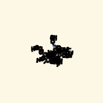 CC(C)=CCc1c(O)ccc(C(=O)C2C(c3c(O)ccc(C(=O)/C=C/c4ccc(O)cc4)c3O)C=C(Oc3ccc(C(=O)C4C(c5c(O)cc(-c6cc7ccc(O)cc7o6)cc5O)C=C(C)CC4c4ccc(O)cc4O)c(O)c3CC=C(C)C)CC2c2ccc(O)cc2)c1O